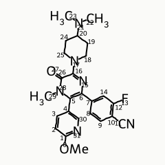 COc1ccc(-c2c(-c3ccc(C#N)c(F)c3)nc(N3CCC(N(C)C)CC3)c(=O)n2C)cn1